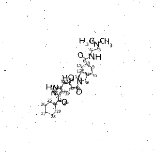 CN(C)CCNC(=O)c1ccc2c(c1)CN(C(=O)c1cc3c(C(=O)C4CCCCC4)n[nH]c3cc1O)C2